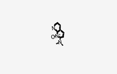 CN(C)c1ccc2cccnc2[n+]1[O-]